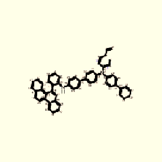 C=CC/C=C\C(=C/C)N(c1ccc(C2=CCCC=C2)cc1)c1ccc(-c2ccc(Nc3ccccc3-c3cc4ccccc4c4ccc5ccccc5c34)cc2)cc1